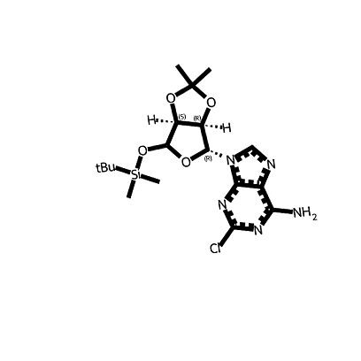 CC1(C)O[C@@H]2[C@H](O1)C(O[Si](C)(C)C(C)(C)C)O[C@H]2n1cnc2c(N)nc(Cl)nc21